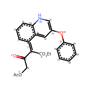 CCOC(=O)/C(C(=O)COC(C)=O)=c1/cccc2c1=CC(Oc1ccccc1)=CN2